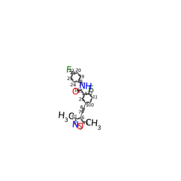 Cc1noc(C)c1C#Cc1ccc(F)c(C(=O)Nc2ccc(F)cc2)c1